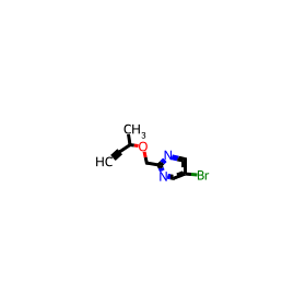 C#CC(C)OCc1ncc(Br)cn1